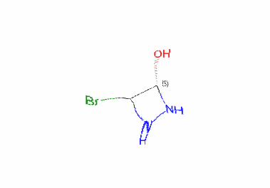 O[C@@H]1NNC1Br